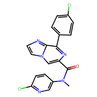 CN(C(=O)c1cn2ccnc2c(-c2ccc(Cl)cc2)n1)c1ccc(Cl)nc1